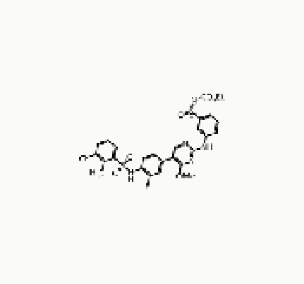 CCOC(=O)/N=[SH](=O)\c1cccc(Nc2ncc(-c3ccc(NS(=O)(=O)c4cccc(Cl)c4C)c(F)c3)c(OC)n2)c1